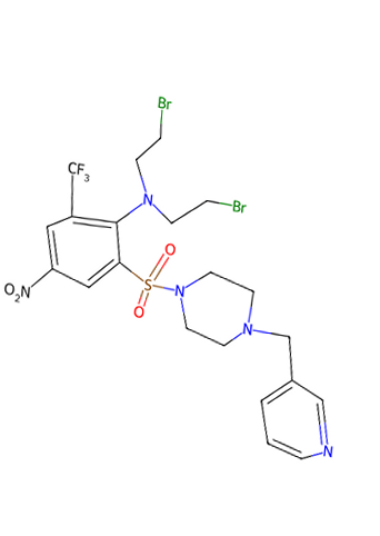 O=[N+]([O-])c1cc(C(F)(F)F)c(N(CCBr)CCBr)c(S(=O)(=O)N2CCN(Cc3cccnc3)CC2)c1